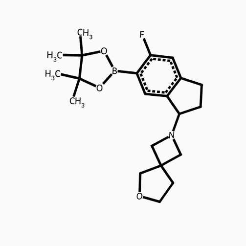 CC1(C)OB(c2cc3c(cc2F)CCC3N2CC3(CCOC3)C2)OC1(C)C